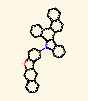 c1ccc2cc3c(cc2c1)oc1ccc(-n2c4ccccc4c4c5ccc6ccccc6c5c5ccccc5c42)cc13